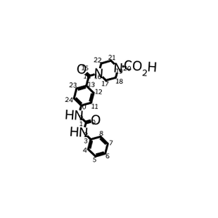 O=C(Nc1ccccc1)Nc1ccc(C(=O)N2CCN(C(=O)O)CC2)cc1